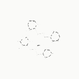 CCOC(=O)C(=O)N(Cc1ccccc1)Cc1ncccc1C.Cc1cccnc1CNCc1ccccc1